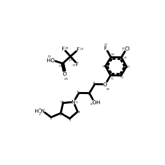 NCC1CCN(CC(O)COc2ccc(Cl)c(F)c2)C1.O=C(O)C(F)(F)F